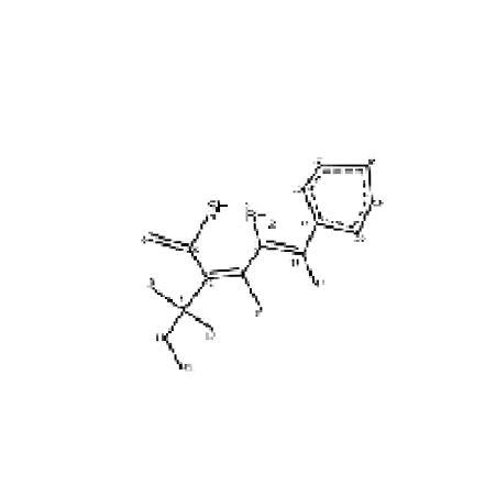 BC(/C(C)=C(\C(=C)S)C(C)(C)CC)=C(/C)c1ccccc1